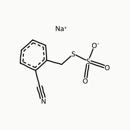 N#Cc1ccccc1CSS(=O)(=O)[O-].[Na+]